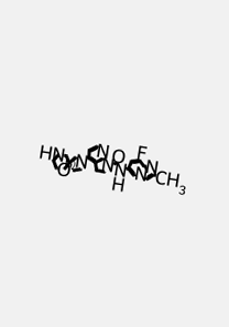 Cc1cn2cc(NC(=O)N3CCc4c(N5CC[C@]6(CNCCO6)C5)ccnc43)cc(F)c2n1